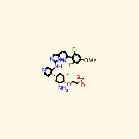 COc1cc(F)c(-c2ccc3cnc(Nc4cnccc4[C@H]4C[C@@H](N)[C@@H](OCCS(C)(=O)=O)[C@@H](C)C4)n3n2)c(F)c1